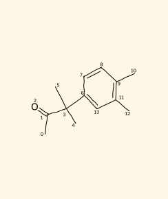 CC(=O)C(C)(C)c1ccc(C)c(C)c1